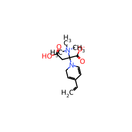 C=CC1=CCN(C(CC(=O)O)(C(=O)[O-])[N+](C)(C)C)C=C1